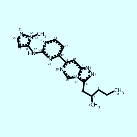 CCCC(C)Cc1nnc2cc(-c3ccnc(Nc4ccnn4C)n3)ncn12